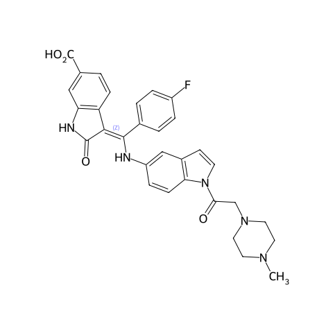 CN1CCN(CC(=O)n2ccc3cc(N/C(=C4\C(=O)Nc5cc(C(=O)O)ccc54)c4ccc(F)cc4)ccc32)CC1